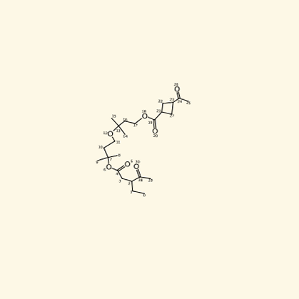 CCC(CC(=O)OC(C)(C)CCOC(C)(C)CCOC(=O)C1CC(C(C)=O)C1)C(C)=O